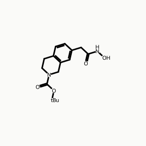 CC(C)(C)OC(=O)N1CCc2ccc(CC(=O)NO)cc2C1